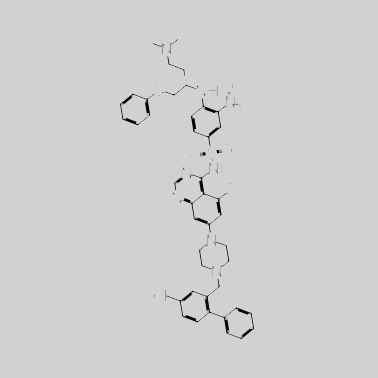 CN(C)CC[C@H](CSc1ccccc1)Nc1ccc(S(=O)(=O)Nc2ncnc3cc(N4CCN(Cc5cc(Cl)ccc5-c5ccccc5)CC4)cc(F)c23)cc1[N+](=O)[O-]